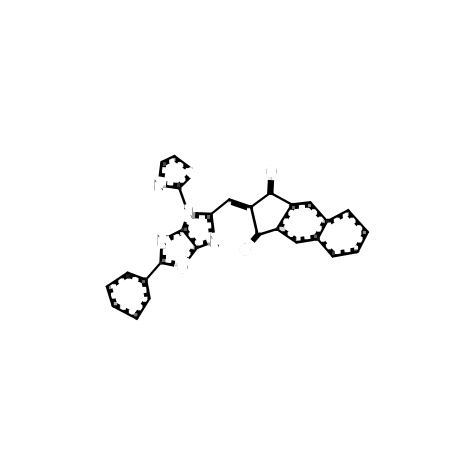 O=C1C(=Cc2nc3oc(-c4ccccc4)nc3n2-c2nccs2)C(=O)c2cc3ccccc3cc21